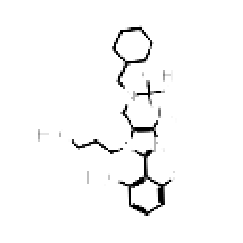 CCCCn1c(-c2c(C)cccc2C)nc(Cl)c1CN(CC1CCCCC1)C(C)(C)C